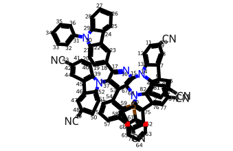 N#Cc1ccc2c(c1)c1cc(C#N)ccc1n2-c1nc(-c2ccc3c(c2)c2ccccc2n3-c2ccccc2)c(-n2c3ccc(C#N)cc3c3cc(C#N)ccc32)c(-c2cccc3c2sc2ccccc23)c1-n1c2ccc(C#N)cc2c2cc(C#N)ccc21